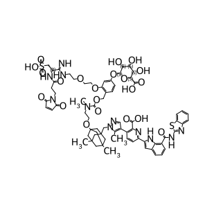 Cc1c(-c2ccc(-c3cc4cccc(C(=O)Nc5nc6ccccc6s5)c4[nH]3)nc2C(=O)O)cnn1CC12CC3(C)CC(C)(C1)CC(OCCN(C)C(=O)OCc1ccc(O[C@@H]4O[C@H](C(=O)O)[C@@H](O)[C@H](O)[C@H]4O)cc1OCCOCCNC(=N)[C@H](CS(=O)(=O)O)NC(=O)CCN1C(=O)C=CC1=O)(C3)C2